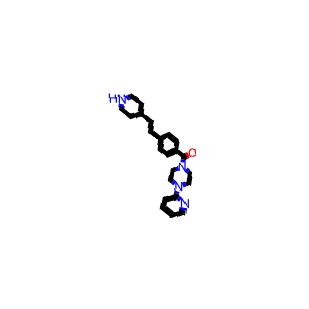 O=C(c1ccc(CCC2CCNCC2)cc1)N1CCN(c2ccccn2)CC1